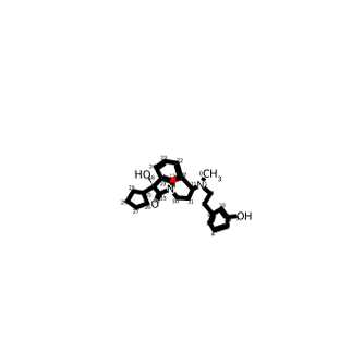 CN(CCc1cccc(O)c1)C1CCN(C(=O)[C@](O)(c2ccccc2)C2CCCC2)CC1